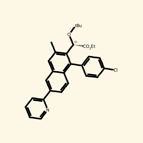 CCOC(=O)[C@@H](OC(C)(C)C)c1c(C)cc2cc(-c3ccccn3)ccc2c1-c1ccc(Cl)cc1